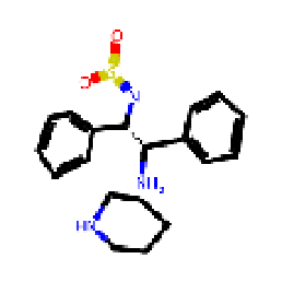 C1CCNCC1.NC(c1ccccc1)[C@@H](N=S(=O)=O)c1ccccc1